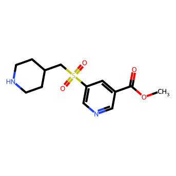 COC(=O)c1cncc(S(=O)(=O)CC2CCNCC2)c1